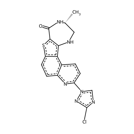 C[C@@H]1CNc2c(sc3ccc4nc(-n5cnc(Cl)n5)ccc4c23)C(=O)N1